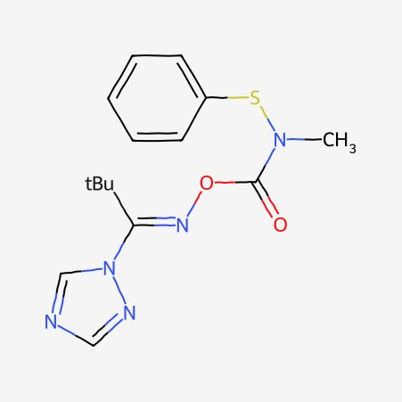 CN(Sc1ccccc1)C(=O)ON=C(n1cncn1)C(C)(C)C